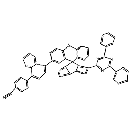 N#Cc1ccc(-c2ccc(-c3ccc4c(c3)C3(c5ccccc5S4)c4ccccc4-c4ccc(-c5nc(-c6ccccc6)nc(-c6ccccc6)n5)cc43)c3ccccc23)cc1